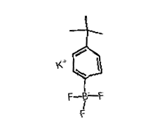 CC(C)(C)c1ccc([B-](F)(F)F)cc1.[K+]